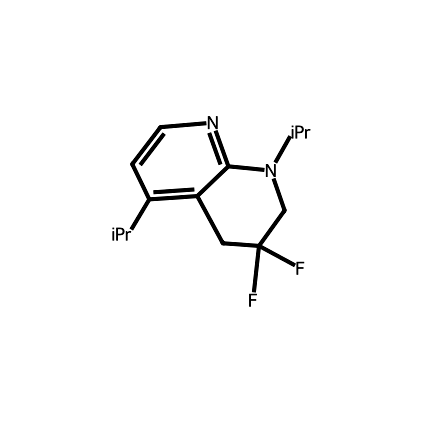 CC(C)c1ccnc2c1CC(F)(F)CN2C(C)C